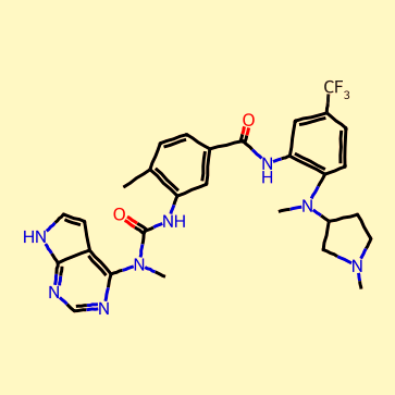 Cc1ccc(C(=O)Nc2cc(C(F)(F)F)ccc2N(C)C2CCN(C)C2)cc1NC(=O)N(C)c1ncnc2[nH]ccc12